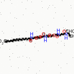 O=CCCC(C=O)NC(=O)CCCNC(=O)COCCOCCNC(=O)COCCOCCNC(=O)CCCCCCCCCCCCCCCCC(=O)O